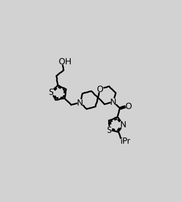 CC(C)c1nc(C(=O)N2CCOC3(CCN(Cc4csc(CCO)c4)CC3)C2)cs1